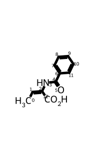 C/C=C(/NC(=O)c1ccccc1)C(=O)O